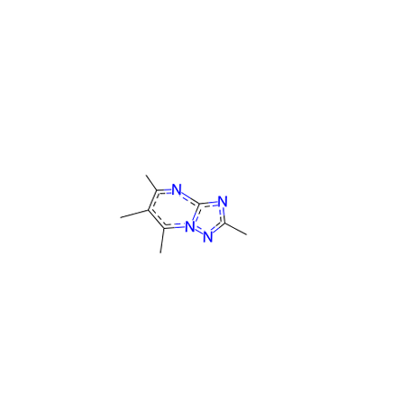 Cc1nc2nc(C)c(C)c(C)n2n1